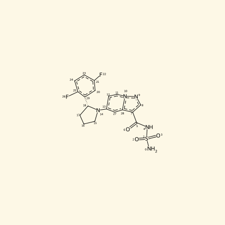 NS(=O)(=O)NC(=O)c1cnn2ccc(N3CCC[C@@H]3c3cc(F)ccc3F)cc12